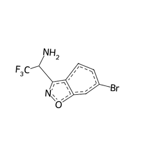 NC(c1noc2cc(Br)ccc12)C(F)(F)F